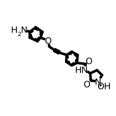 Nc1ccc(OCC#Cc2ccc(C(=O)NC3CCN(O)C3=O)cc2)cc1